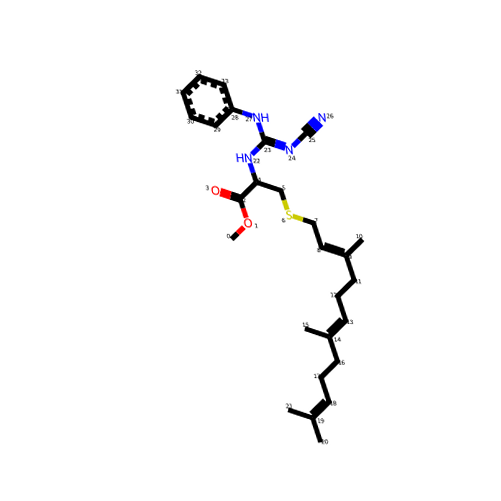 COC(=O)C(CSC/C=C(\C)CC/C=C(\C)CCC=C(C)C)N/C(=N/C#N)Nc1ccccc1